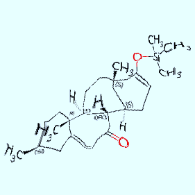 C[C@H]1CC[C@@]2(C)C(=CC(=O)[C@@H]3[C@@H]2CC[C@]2(C)C(O[Si](C)(C)C)=CC[C@@H]32)C1